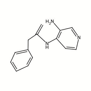 C=C(Cc1ccccc1)Nc1ccncc1N